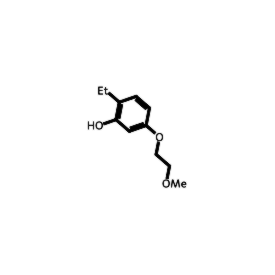 CCc1ccc(OCCOC)cc1O